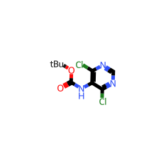 CC(C)(C)OC(=O)Nc1c(Cl)ncnc1Cl